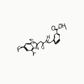 O=C(Cc1nc2c(F)cc(F)cc2s1)NCc1cccc(C(=O)O)c1